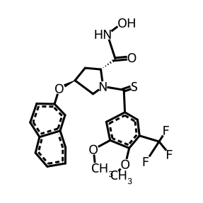 COc1cc(C(=S)N2C[C@@H](Oc3ccc4ccccc4c3)C[C@@H]2C(=O)NO)cc(C(F)(F)F)c1OC